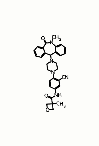 CN1C(=O)c2ccccc2C(N2CCN(c3ccc(NC(=O)C4(C)COC4)cc3C#N)CC2)c2ccccc21